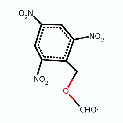 O=[C]OCc1c([N+](=O)[O-])cc([N+](=O)[O-])cc1[N+](=O)[O-]